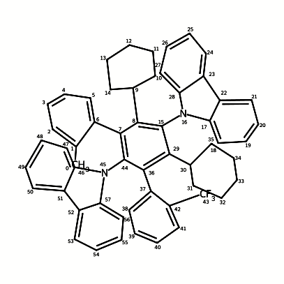 Cc1ccccc1-c1c(C2CCCCC2)c(-n2c3ccccc3c3ccccc32)c(C2CCCCC2)c(-c2ccccc2C(F)(F)F)c1-n1c2ccccc2c2ccccc21